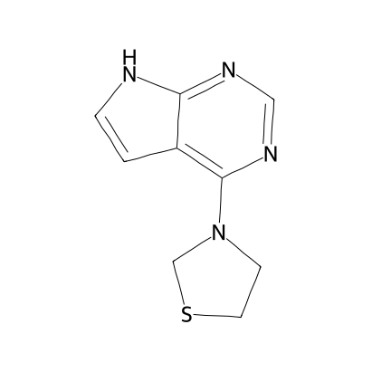 c1nc(N2CCSC2)c2cc[nH]c2n1